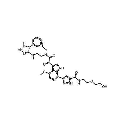 CCCN(CCNC1=NNNN1c1ccccc1)C(=O)C(=O)c1c[nH]c2c(-c3cc(C(=O)NCCOCCO)[nH]n3)ncc(OC)c12